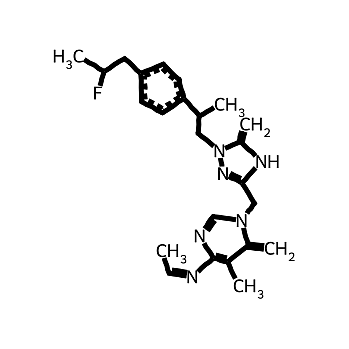 C=C1C(C)=C(/N=C\C)N=CN1CC1=NN(CC(C)c2ccc(CC(C)F)cc2)C(=C)N1